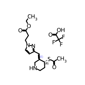 CCOC(=O)CCn1ccc(/C=C2\CNCC[C@H]2SC(C)=O)n1.O=C(O)C(F)(F)F